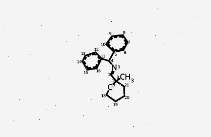 CC1(C=NC(c2ccccc2)c2ccccc2)CCCCC1